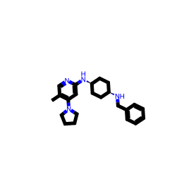 Cc1cnc(N[C@H]2CC[C@@H](NCc3ccccc3)CC2)cc1N1CCCC1